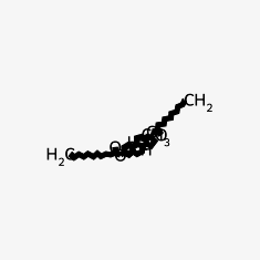 C=CCCCCCCCCC(=O)Oc1ccc2c(c1)CC[C@@H]1[C@@H]2CC[C@]2(C)[C@@H](OC(=O)CCCCCCCCC=C)CC[C@@H]12